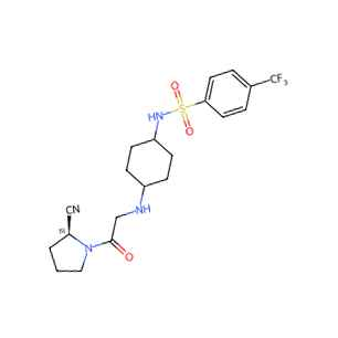 N#C[C@@H]1CCCN1C(=O)CNC1CCC(NS(=O)(=O)c2ccc(C(F)(F)F)cc2)CC1